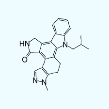 CC(C)Cn1c2ccccc2c2c3c(c4c(c21)CCc1c-4cnn1C)C(=O)NC3